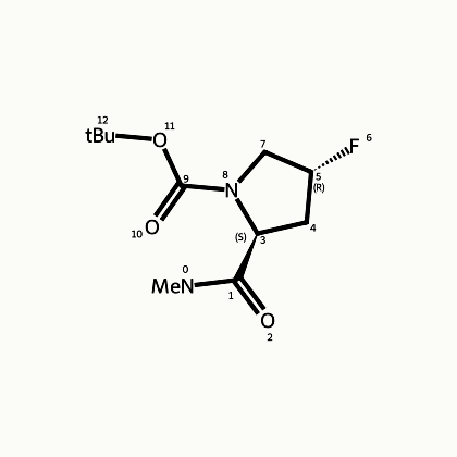 CNC(=O)[C@@H]1C[C@@H](F)CN1C(=O)OC(C)(C)C